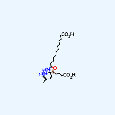 CC1=CNC(NC(=O)CCCCCCCCCCCC(=O)O)(SCCCC(=O)O)C=C1